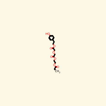 C=CC(=O)OCCOC(=O)COCC(=O)OCCc1ccc(O)cc1